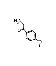 COc1ccc(C(=O)CN)cc1